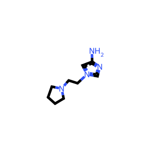 Nc1cn(CCN2CCCC2)cn1